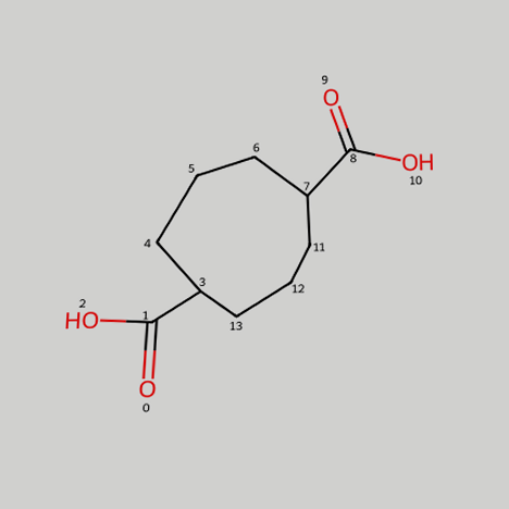 O=C(O)C1CCCC(C(=O)O)CCC1